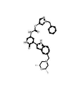 C[C@@H]1CN(Cc2ccc3[nH]c(-c4cc(NC(=O)Oc5cnn(Cc6ccccc6)c5)c[nH]c4=O)cc3c2)C[C@H](C)O1